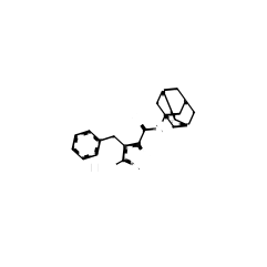 Cc1noc(C(=O)NC23CC4CC(CC(C4)C2)C3)c1Cc1ccccc1